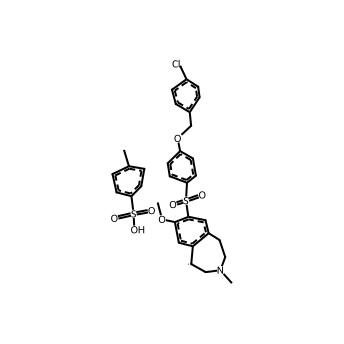 COc1cc2c(cc1S(=O)(=O)c1ccc(OCc3ccc(Cl)cc3)cc1)CCN(C)C[CH]2.Cc1ccc(S(=O)(=O)O)cc1